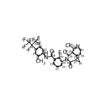 Cc1cc(C(F)(C(F)(F)F)C(F)(F)F)ccc1NC(=O)c1cccc(N(C(=O)c2cccnc2Cl)C(=O)C2CC2)c1F